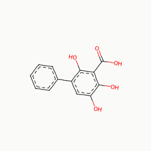 O=C(O)c1c(O)c(O)cc(-c2ccccc2)c1O